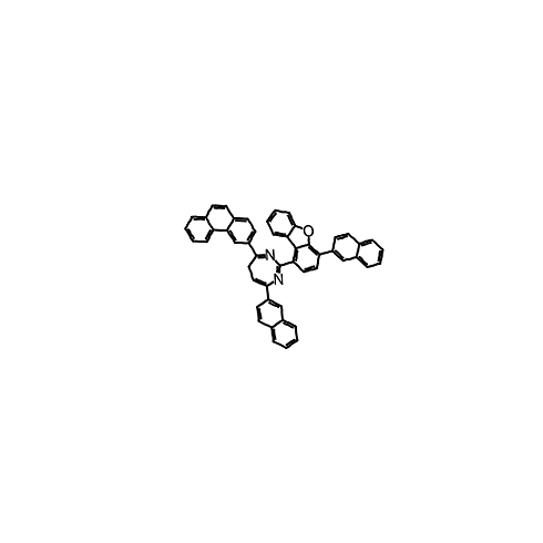 C1=C(c2ccc3ccccc3c2)N=C(c2ccc(-c3ccc4ccccc4c3)c3oc4ccccc4c23)N=C(c2ccc3ccc4ccccc4c3c2)C1